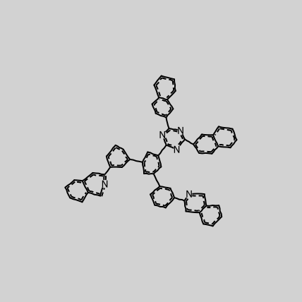 c1cc(-c2cc(-c3cccc(-c4cc5ccccc5cn4)c3)cc(-c3nc(-c4ccc5ccccc5c4)nc(-c4ccc5ccccc5c4)n3)c2)cc(-c2cc3ccccc3cn2)c1